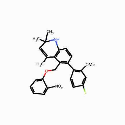 COc1cc(F)ccc1-c1ccc2c(c1COc1ccccc1[N+](=O)[O-])C(C)=CC(C)(C)N2